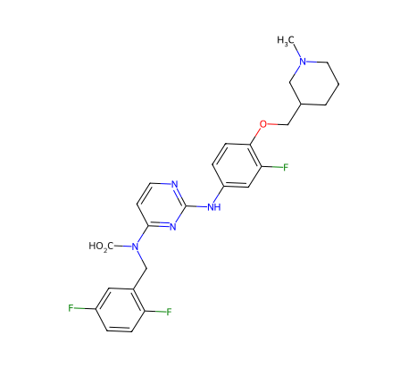 CN1CCCC(COc2ccc(Nc3nccc(N(Cc4cc(F)ccc4F)C(=O)O)n3)cc2F)C1